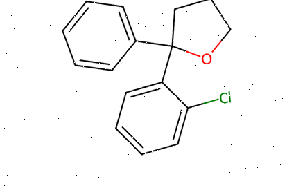 Clc1ccccc1C1(c2ccccc2)CCCO1